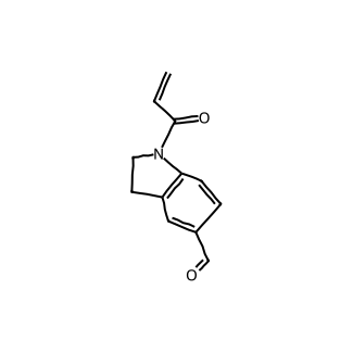 C=CC(=O)N1CCc2cc(C=O)ccc21